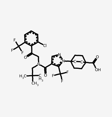 CC(C)(C)CN(CC(=O)c1c(Cl)cccc1C(F)(F)F)C(=O)c1cnn(C23CCC(C(=O)O)(CC2)CC3)c1C(F)(F)F